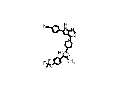 Cc1nc(C2CCN(c3ncnc4[nH]c(-c5ccc(C#N)cc5)cc34)CC2)[nH]c1-c1ccc(OC(F)(F)F)cc1